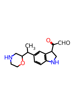 CC(c1ccc2c(c1)C(C(=O)C=O)CN2)C1CNCCO1